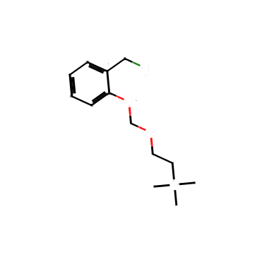 C[Si](C)(C)CCOCOc1ccccc1CCl